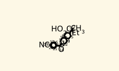 CCC(C)(C(=O)O)C1CCC2(CC1)CCN(C(=O)c1ccc(C#N)cc1)CC2